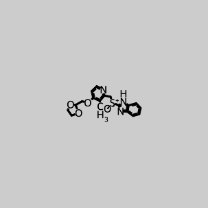 Cc1c(OCC2OCCO2)ccnc1C[S@+]([O-])c1nc2ccccc2[nH]1